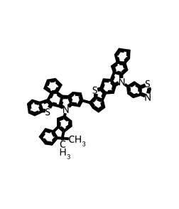 CC1(C)c2ccccc2-c2cc(-n3c4cc(-c5cccc6c5sc5cc7c8cc9ccccc9cc8n(-c8ccc9ncsc9c8)c7cc56)ccc4c4c5ccccc5c5c6ccccc6sc5c43)ccc21